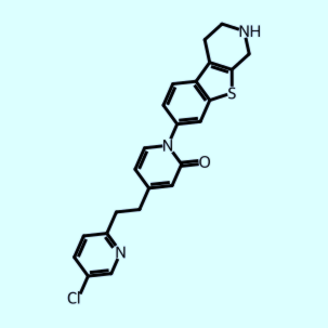 O=c1cc(CCc2ccc(Cl)cn2)ccn1-c1ccc2c3c(sc2c1)CNCC3